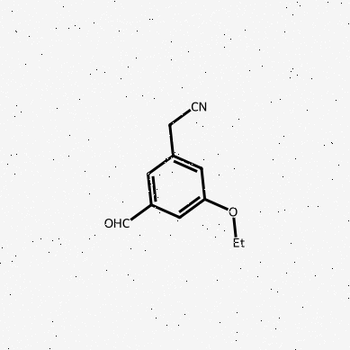 CCOc1cc(C=O)cc(CC#N)c1